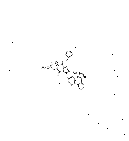 CCCCCc1nc2c(c(=O)n(CC(=O)OC)c(=O)n2CCc2ccccc2)n1Cc1ccc(-c2ccccc2-c2nnn[nH]2)cc1